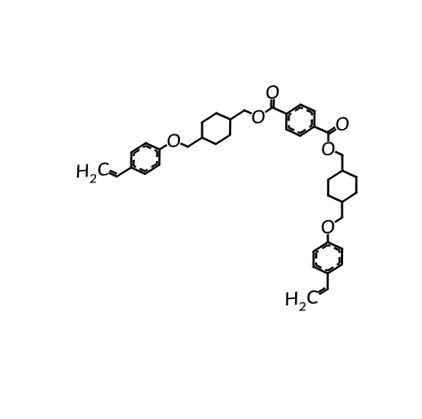 C=Cc1ccc(OCC2CCC(COC(=O)c3ccc(C(=O)OCC4CCC(COc5ccc(C=C)cc5)CC4)cc3)CC2)cc1